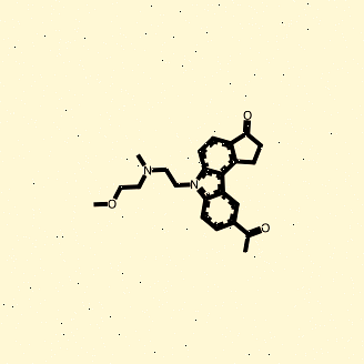 COCCN(C)CCn1c2ccc(C(C)=O)cc2c2c3c(ccc21)C(=O)CC3